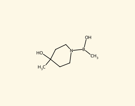 CB(O)N1CCC(C)(O)CC1